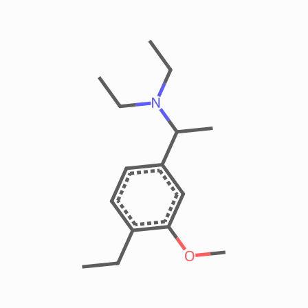 CCc1ccc(C(C)N(CC)CC)cc1OC